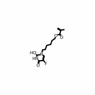 C=C(C)C(=O)OCCCCCCN1C=C(F)C(=O)NC1O